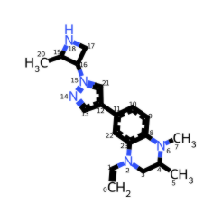 C=CN1CC(C)N(C)c2ccc(-c3cnn(C4CNC4C)c3)cc21